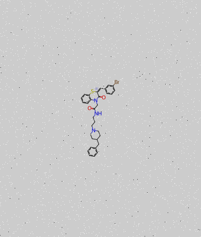 O=C(CN1C(=O)/C(=C\c2cccc(Br)c2)Sc2ccccc21)NCCCN1CCC(Cc2ccccc2)CC1